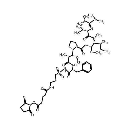 CC[C@H](C)[C@@H]([C@@H](CC(=O)N1CCC[C@H]1[C@H](OC)[C@@H](C)C(=O)N[C@@H](Cc1ccccc1)C(=O)NS(=O)(=O)CCCNC(=O)CCCC(=O)ON1C(=O)CCC1=O)OC)N(C)C(=O)[C@@H](N=C(N(C)C)N(C)C)C(C)C